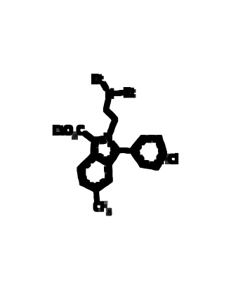 CCOC(=O)c1c2ccc(C(F)(F)F)cc2c(-c2ccccc2)n1CCN(CC)CC.Cl